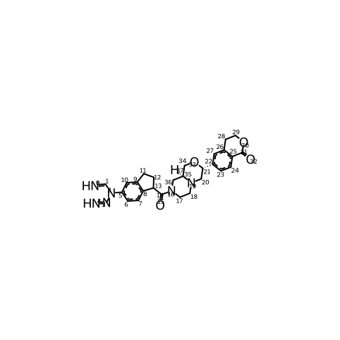 N=CN(N=N)c1ccc2c(c1)CCC2C(=O)N1CCN2C[C@@H](c3ccc4c(c3)CCOC4=O)OC[C@@H]2C1